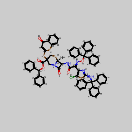 O=C(NC1C(=O)N2CC(Sc3cc(=O)c4ccccc4s3)(C(=O)OC(c3ccccc3)c3ccccc3)CS[C@H]12)C(=NOC(c1ccccc1)(c1ccccc1)c1ccccc1)c1nc(NC(c2ccccc2)(c2ccccc2)c2ccccc2)sc1Cl